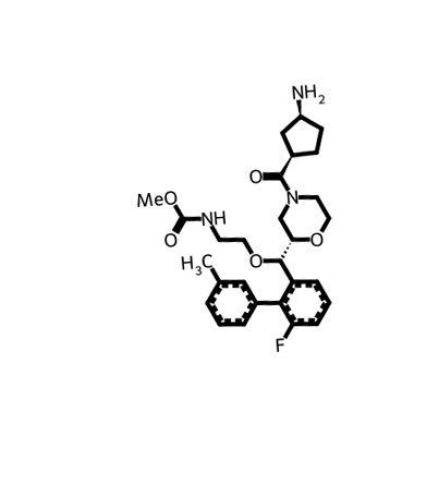 COC(=O)NCCOC(c1cccc(F)c1-c1cccc(C)c1)[C@@H]1CN(C(=O)[C@@H]2CC[C@H](N)C2)CCO1